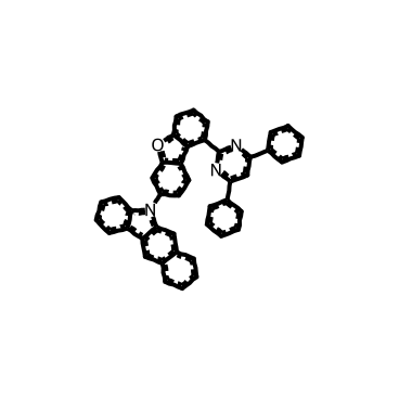 c1ccc(-c2cc(-c3ccccc3)nc(-c3cccc4oc5cc(-n6c7ccccc7c7cc8ccccc8cc76)ccc5c34)n2)cc1